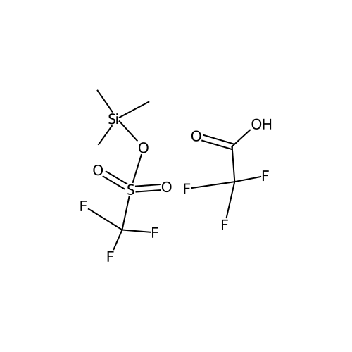 C[Si](C)(C)OS(=O)(=O)C(F)(F)F.O=C(O)C(F)(F)F